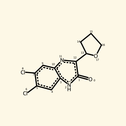 O=c1[nH]c2cc(Cl)c(Cl)cc2nc1C1CCCO1